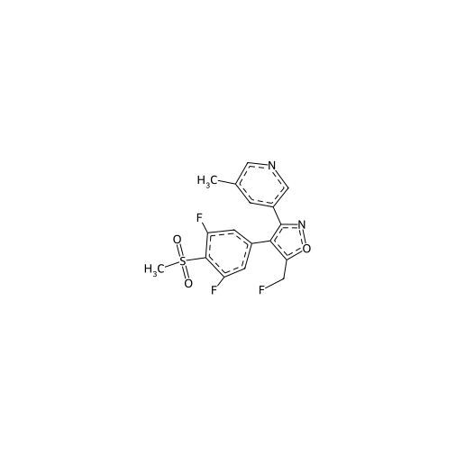 Cc1cncc(-c2noc(CF)c2-c2cc(F)c(S(C)(=O)=O)c(F)c2)c1